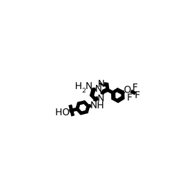 CC(C)(O)C1CCC(Nc2cc(N)n3ncc(-c4cccc(OC(F)(F)F)c4)c3n2)CC1